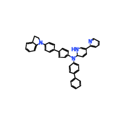 C1=CC(N(c2ccc(-c3ccccc3)cc2)c2ccc(-c3ccc(N4CCc5ccccc54)cc3)cc2)NC=C1c1ccccn1